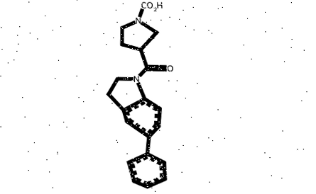 O=C(O)N1CCC(C(=O)N2CCc3cc(-c4ccccc4)ccc32)C1